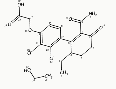 CCC1CCC(=O)C(C(N)=O)=C1c1ccc(OCC(=O)O)c(Cl)c1Cl.CCO